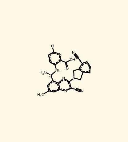 Cc1cc([C@@H](C)Nc2ccc(Cl)nc2C(=O)O)c2nc(N3Cc4cccc(C#N)c4C3)c(C#N)nc2c1